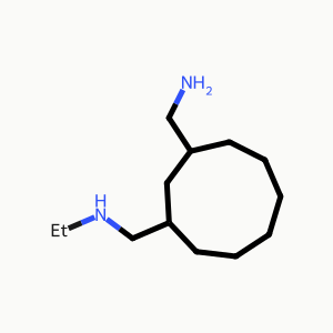 CCNCC1CCCCCCC(CN)C1